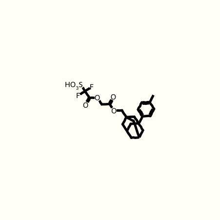 Cc1ccc(C23CC4CC(CC(COC(=O)COC(=O)C(F)(F)S(=O)(=O)O)(C4)C2)C3)cc1